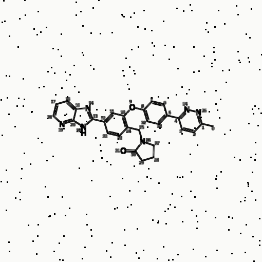 Cc1ccc(-c2ccc(Oc3cc(-c4nc5cccnc5[nH]4)ccc3CN3CCCC3=O)cc2)nn1